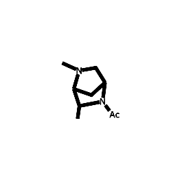 CC(=O)N1C2CC(C1C)N(C)C2